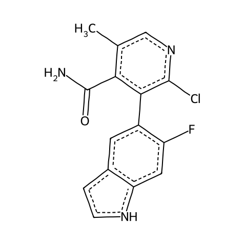 Cc1cnc(Cl)c(-c2cc3cc[nH]c3cc2F)c1C(N)=O